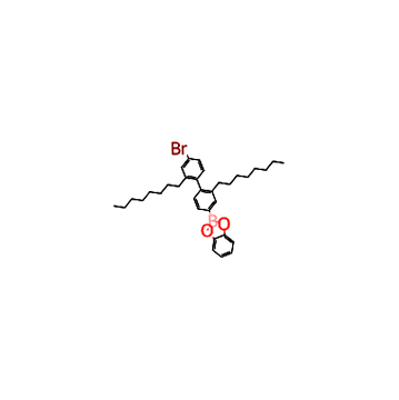 CCCCCCCCc1cc(Br)ccc1-c1ccc(B2Oc3ccccc3O2)cc1CCCCCCCC